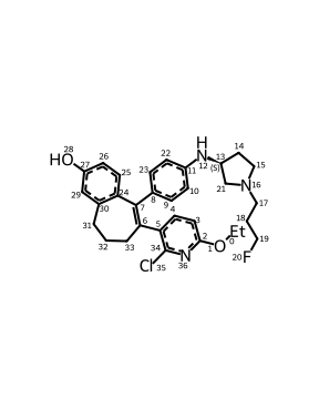 CCOc1ccc(C2=C(c3ccc(N[C@H]4CCN(CCCF)C4)cc3)c3ccc(O)cc3CCC2)c(Cl)n1